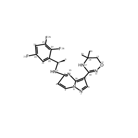 C[C@@H](Nc1ccn2ncc(C3=NOCC(C)(C)N3)c2n1)c1cc(F)cc(F)c1F